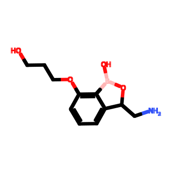 NCC1OB(O)c2c(OCCCO)cccc21